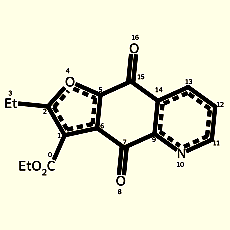 CCOC(=O)c1c(CC)oc2c1C(=O)c1ncccc1C2=O